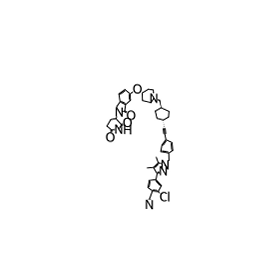 Cc1c(-c2ccc(C#N)c(Cl)c2)nn(Cc2ccc(C#C[C@H]3CC[C@H](CN4CCC(Oc5ccc6c(c5)C(=O)N(C5CCC(=O)NC5=O)C6)CC4)CC3)cc2)c1C